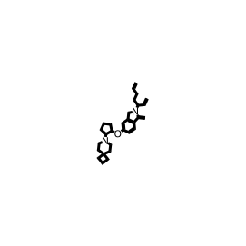 C=CCCC(C=C)N1Cc2cc(OC3CCCC3N3CCC4(CCC4)CC3)ccc2C1=C